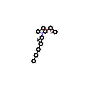 CC1(C)c2cc(-c3ccc(-c4ccc(-c5ccccc5)cc4)cc3)ccc2-c2ccc(N(c3ccc(-c4cccc5c4sc4ccccc45)cc3)c3ccccc3-c3ccccc3)cc21